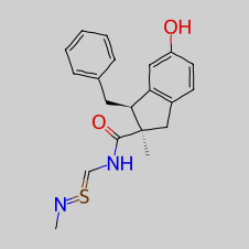 CN=S=CNC(=O)[C@]1(C)Cc2ccc(O)cc2[C@@H]1Cc1ccccc1